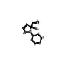 O=CC1(Cl)C=CSN1C1CCCCC1